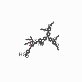 CCCCOc1ccc(-c2ccc(N(c3ccc(-c4ccc(OCCCC)cc4OCCCC)cc3)c3ccc(-c4ccc(-c5cc6c(s5)C(CC(CC)CCCC)(CC(CC)CCCC)c5sc(C#Cc7ccc(C(=O)O)cc7)cc5-6)c5nsnc45)cc3)cc2)c(OCCCC)c1